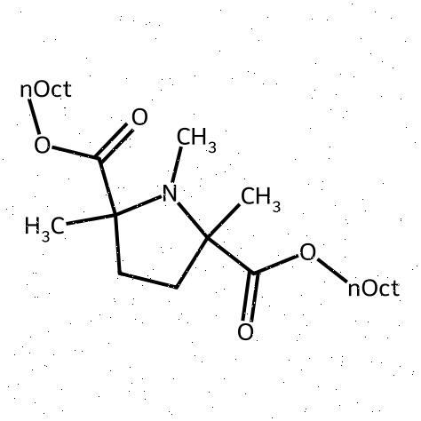 CCCCCCCCOC(=O)C1(C)CCC(C)(C(=O)OCCCCCCCC)N1C